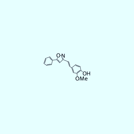 COc1cc(C=Cc2cc(-c3ccccc3)on2)ccc1O